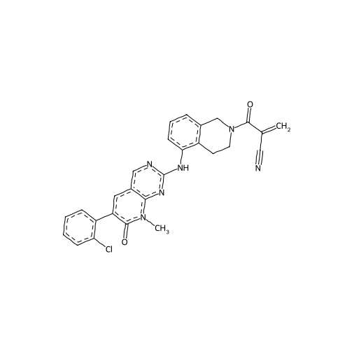 C=C(C#N)C(=O)N1CCc2c(cccc2Nc2ncc3cc(-c4ccccc4Cl)c(=O)n(C)c3n2)C1